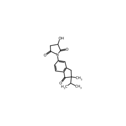 CC(C)C1(C)Cc2cc(N3C(=O)CC(O)C3=O)ccc2C1=O